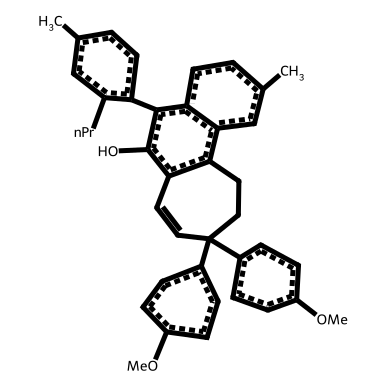 CCCc1cc(C)ccc1-c1c(O)c2c(c3cc(C)ccc13)CCC(c1ccc(OC)cc1)(c1ccc(OC)cc1)C=C2